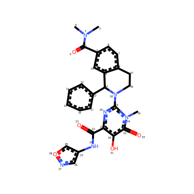 CN(C)C(=O)c1ccc2c(c1)C(c1ccccc1)N(c1nc(C(=O)Nc3cnoc3)c(O)c(=O)n1C)CC2